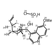 C=C[C@H]1C[N@]2CC[C@H]1C[C@H]2[C@H](O)c1ccnc2ccc(OC)cc12.O=S(=O)(O)Cl